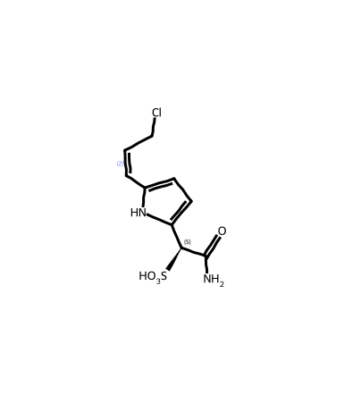 NC(=O)[C@H](c1ccc(/C=C\CCl)[nH]1)S(=O)(=O)O